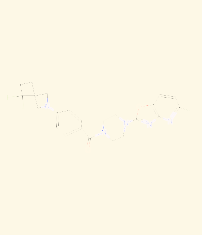 O=C(c1ccc(N2CC3(CCC3(F)F)C2)cc1)N1CCN(c2nc3nc(Cl)ccc3o2)CC1